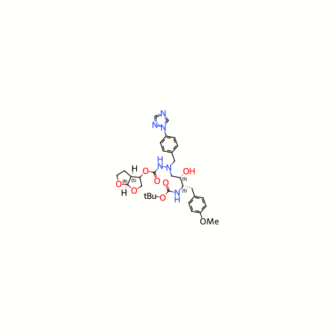 COc1ccc(C[C@H](NC(=O)OC(C)(C)C)[C@@H](O)CN(Cc2ccc(-n3cncn3)cc2)NC(=O)OC2CO[C@H]3OCC[C@@H]23)cc1